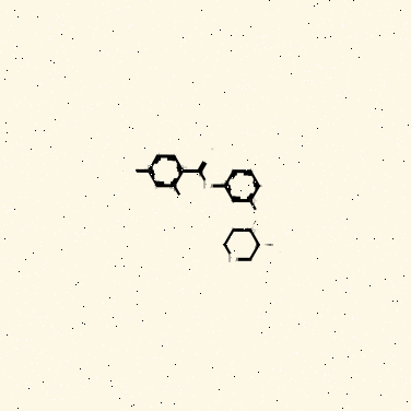 C[C@H]1CNCC[C@H]1Oc1cccc(NC(=O)c2ccc(F)cc2Cl)c1